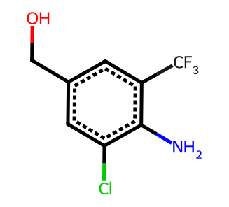 Nc1c(Cl)cc(CO)cc1C(F)(F)F